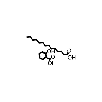 CCCCCCCCCCCCCC(=O)O.O=C(O)c1ccccc1O